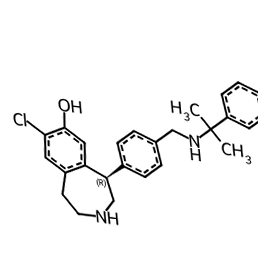 CC(C)(NCc1ccc([C@H]2CNCCc3cc(Cl)c(O)cc32)cc1)c1ccccc1